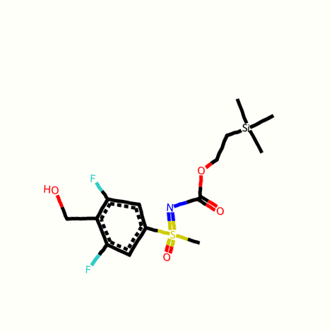 C[Si](C)(C)CCOC(=O)N=S(C)(=O)c1cc(F)c(CO)c(F)c1